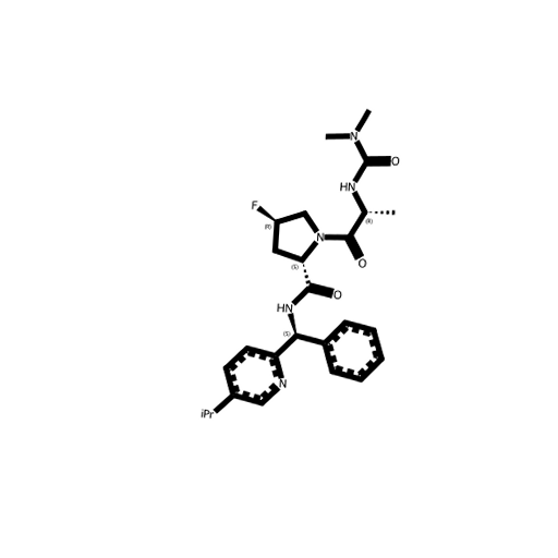 CC(C)c1ccc([C@@H](NC(=O)[C@@H]2C[C@@H](F)CN2C(=O)[C@@H](C)NC(=O)N(C)C)c2ccccc2)nc1